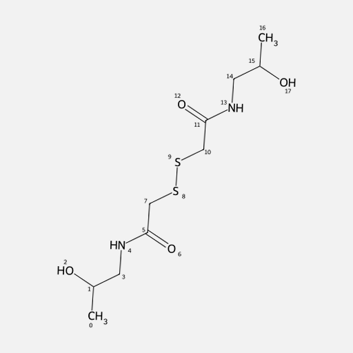 CC(O)CNC(=O)CSSCC(=O)NCC(C)O